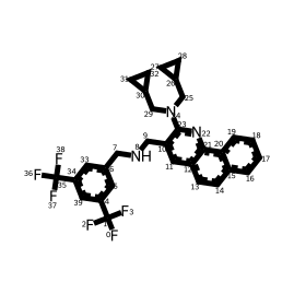 FC(F)(F)c1cc(CNCc2cc3ccc4ccccc4c3nc2N(CC2CC2)CC2CC2)cc(C(F)(F)F)c1